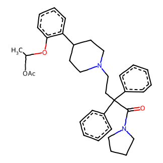 CC(=O)OC(C)Oc1ccccc1C1CCN(CCC(C(=O)N2CCCC2)(c2ccccc2)c2ccccc2)CC1